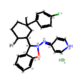 Br.CC(C)C1CCC(C)(c2ccc(F)cc2)CC1C1c2ccccc2ON1N=c1cc[nH]cc1